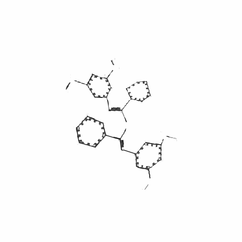 COc1cc(C=C(OC(=Cc2cc(OC)cc(OC)c2)c2ccccc2)c2ccccc2)cc(OC)c1